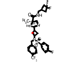 C[C@]1(C(=O)NCC2CC(F)(F)C2)CN=C(C23CC(N(Cc4ccc(C(F)(F)F)cc4)S(=O)(=O)c4ccc(F)cc4)(C2)C3)N1